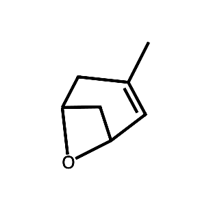 CC1=CC2CC(C1)O2